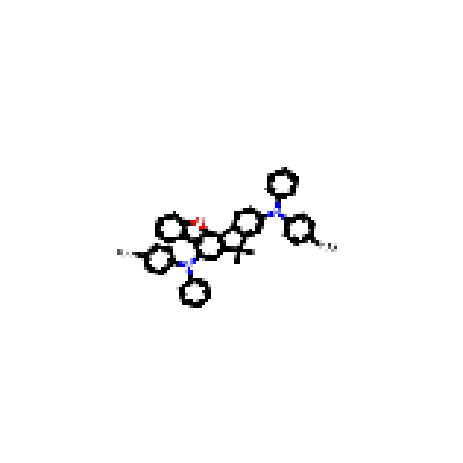 CC(C)(C)c1ccc(N(c2ccccc2)c2ccc3c(c2)C(C)(C)c2cc(N(c4ccccc4)c4ccc(C(C)(C)C)cc4)c4c(oc5ccccc54)c2-3)cc1